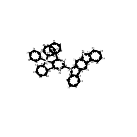 c1ccc(-c2nc(-n3c4ccccc4c4cc5c(cc43)oc3ccccc35)nc3c2[Si](c2ccccc2)(c2ccccc2)c2ccccc2-3)cc1